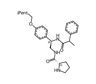 CCCC(C)COc1ccc([C@H](CNC(=O)[C@@H]2CCCN2)NC(=O)C(C)c2ccccc2)cc1